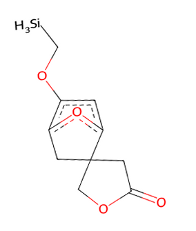 O=C1CC2(CO1)Cc1oc2cc1OC[SiH3]